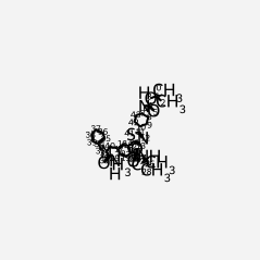 CC(C)OC(=O)N[C@H]1CC[C@H](c2ncc(-c3cc4c(cc3S(=O)(=O)NC(C)(C)C)NC(=O)N(Cc3ccccc3)C4)s2)CC1